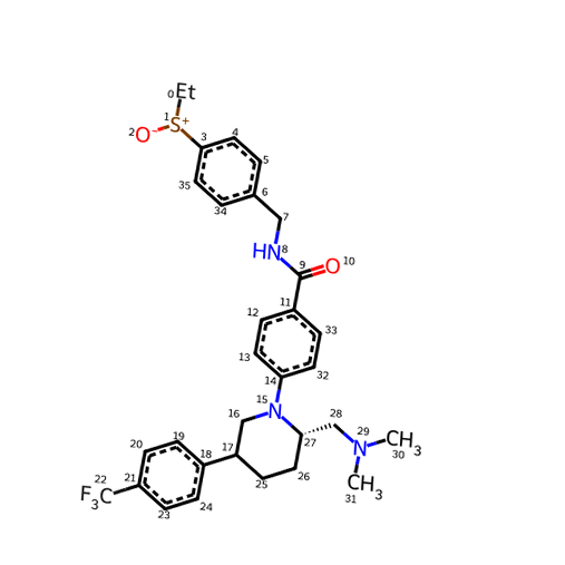 CC[S+]([O-])c1ccc(CNC(=O)c2ccc(N3CC(c4ccc(C(F)(F)F)cc4)CC[C@H]3CN(C)C)cc2)cc1